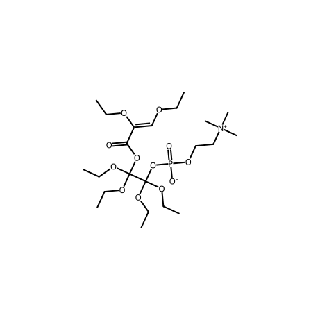 CCOC=C(OCC)C(=O)OC(OCC)(OCC)C(OCC)(OCC)OP(=O)([O-])OCC[N+](C)(C)C